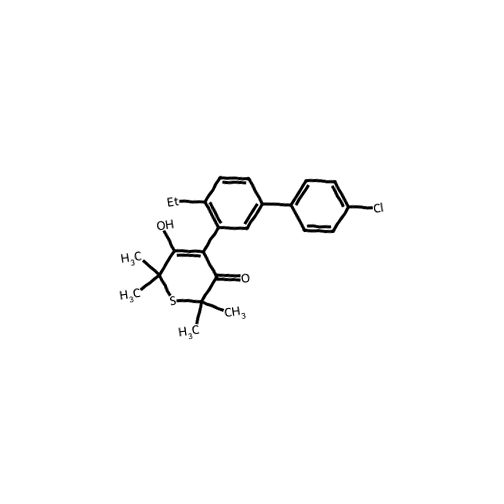 CCc1ccc(-c2ccc(Cl)cc2)cc1C1=C(O)C(C)(C)SC(C)(C)C1=O